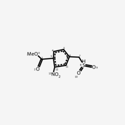 COC(=O)c1ccc(C[SH](=O)=O)cc1[N+](=O)[O-]